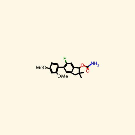 COc1ccc(-c2cc3c(cc2F)C(OC(N)=O)C(C)(C)C3)c(OC)c1